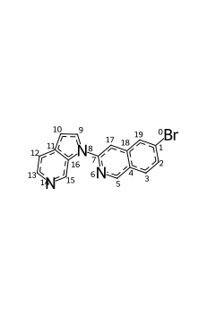 Brc1ccc2cnc(-n3ccc4ccncc43)cc2c1